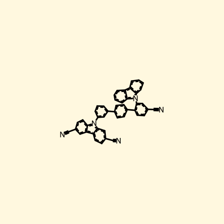 N#Cc1ccc(-c2ccc(-c3cccc(-n4c5ccc(C#N)cc5c5ccc(C#N)cc54)c3)cc2)c(-n2c3ccccc3c3ccccc32)c1